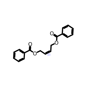 O=C(OC/C=C\COC(=O)c1ccccc1)c1ccccc1